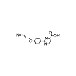 N#CC=CCOc1ccc(-c2nccc(C(=O)O)n2)cc1